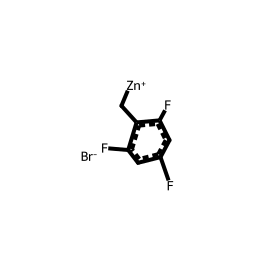 Fc1cc(F)c([CH2][Zn+])c(F)c1.[Br-]